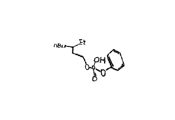 CCCCC(CC)CCOP(=O)(O)Oc1ccccc1